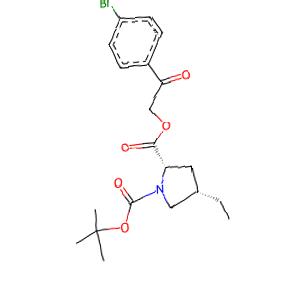 CC[C@H]1C[C@@H](C(=O)OCC(=O)c2ccc(Br)cc2)N(C(=O)OC(C)(C)C)C1